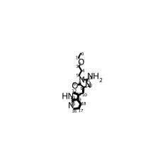 CCOCCCN1C(=O)C(=Cc2c[nH]c3ncccc23)N=C1N